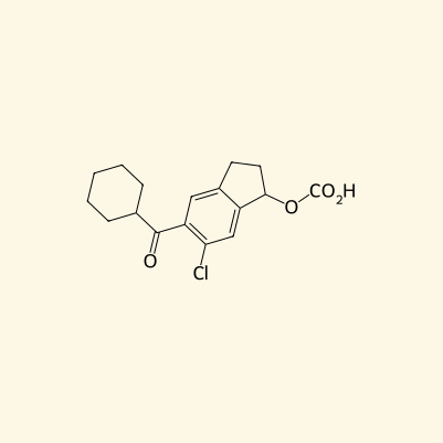 O=C(O)OC1CCc2cc(C(=O)C3CCCCC3)c(Cl)cc21